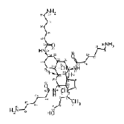 CC(CCCO)C1CC[C@H]2C3[C@H](NC(=O)CCCCCN)CC4C[C@H](NC(=O)CCCCCN)CC[C@]4(C)[C@H]3CC(NC(=O)CCCCCN)[C@]12C